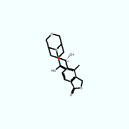 Cc1c([C@@H](O)CN2C3COCC2CN(C(=O)O)C3)ccc2c1COC2=O